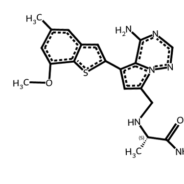 COc1cc(C)cc2cc(-c3cc(CN[C@@H](C)C(N)=O)n4ncnc(N)c34)sc12